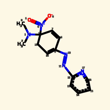 CN(C)C1([N+](=O)[O-])C=CC(N=Nc2ccccn2)=CC1